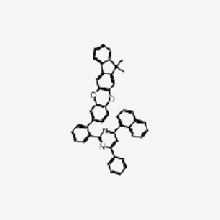 CC1(C)c2ccccc2-c2cc3c(cc21)Oc1ccc(-c2ccccc2-c2nc(-c4ccccc4)cc(-c4cccc5ccccc45)n2)cc1O3